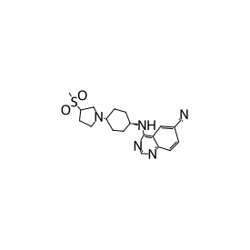 CS(=O)(=O)C1CCN([C@H]2CC[C@H](Nc3ncnc4ccc(C#N)cc34)CC2)C1